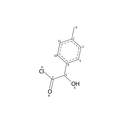 Cc1ccc(C(O)C(=O)Cl)cc1